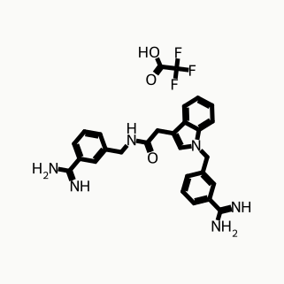 N=C(N)c1cccc(CNC(=O)Cc2cn(Cc3cccc(C(=N)N)c3)c3ccccc23)c1.O=C(O)C(F)(F)F